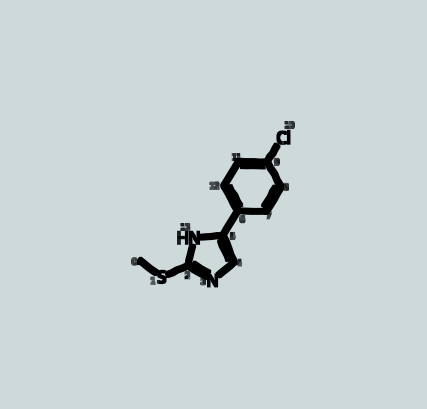 [CH2]Sc1ncc(-c2ccc(Cl)cc2)[nH]1